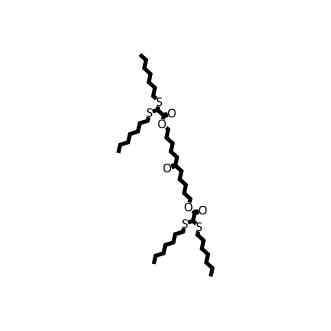 CCCCCCCSC(SCCCCCCC)C(=O)OCCCCCC(=O)CCCCCOC(=O)C(SCCCCCCC)SCCCCCCC